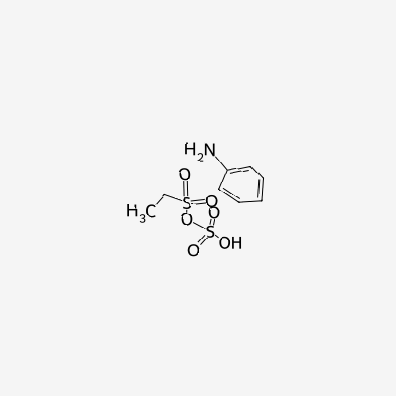 CCS(=O)(=O)OS(=O)(=O)O.Nc1ccccc1